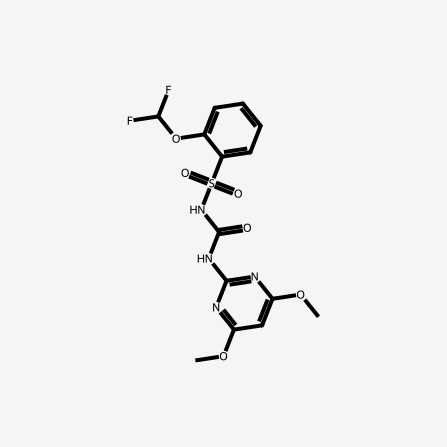 COc1cc(OC)nc(NC(=O)NS(=O)(=O)c2ccccc2OC(F)F)n1